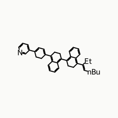 CCCC/C=C(\CC)C1=c2ccccc2=C(C2=c3ccccc3=C(C3=CC=C(c4cccnc4)CC3)CC2)CC1